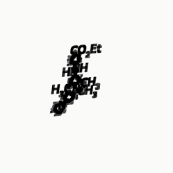 CCOC(=O)c1ccc(NNc2cc(C)c(N(C)c3ccc(N4CCCC4)cc3)c(C)c2)cc1